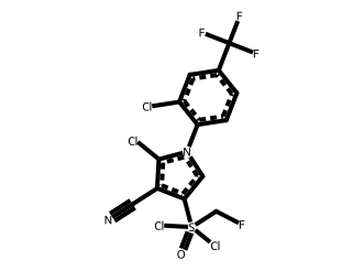 N#Cc1c(S(=O)(Cl)(Cl)CF)cn(-c2ccc(C(F)(F)F)cc2Cl)c1Cl